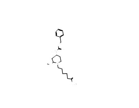 COC1C[C@H](NC(=O)OCc2ccccc2)CCN1CCCCCC(=O)O